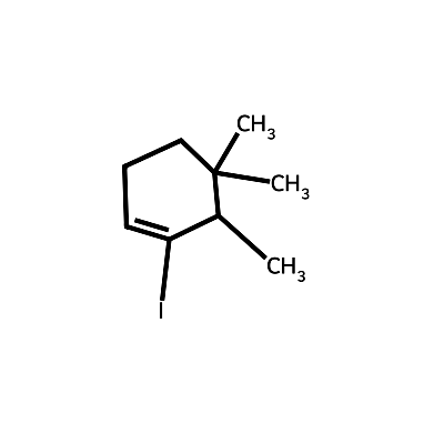 CC1C(I)=CCCC1(C)C